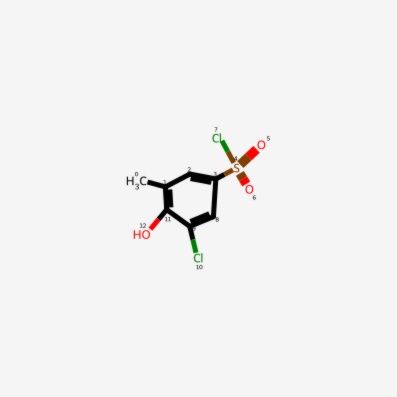 Cc1cc(S(=O)(=O)Cl)cc(Cl)c1O